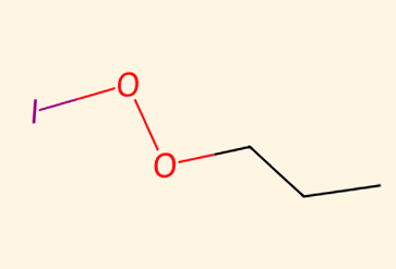 CCCOOI